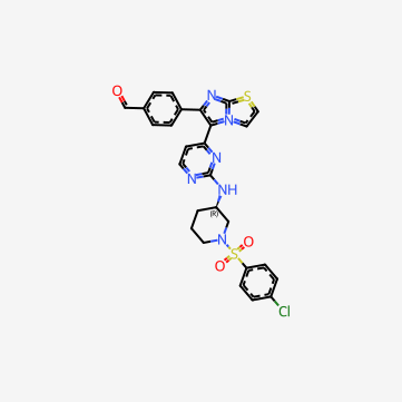 O=Cc1ccc(-c2nc3sccn3c2-c2ccnc(N[C@@H]3CCCN(S(=O)(=O)c4ccc(Cl)cc4)C3)n2)cc1